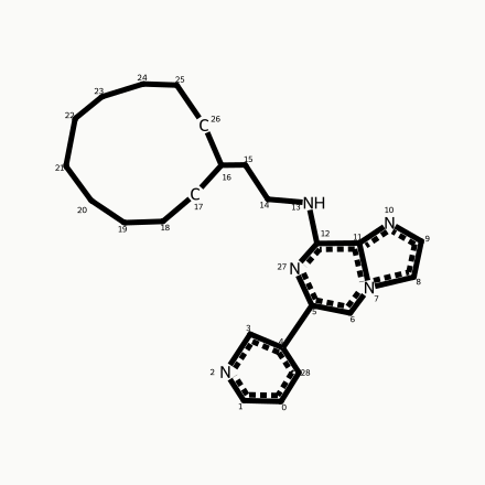 c1cncc(-c2cn3ccnc3c(NCCC3CCCCCCCCCC3)n2)c1